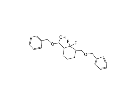 OC(OCc1ccccc1)C1CCCC(COCc2ccccc2)C1(F)F